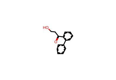 O=C(CCO)c1ccccc1-c1ccccc1